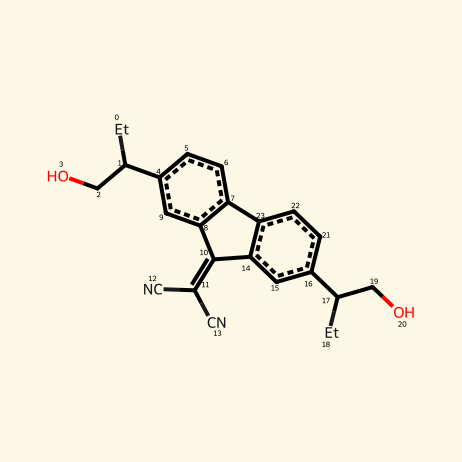 CCC(CO)c1ccc2c(c1)C(=C(C#N)C#N)c1cc(C(CC)CO)ccc1-2